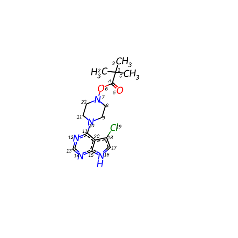 CC(C)(C)C(=O)ON1CCN(c2ncnc3[nH]cc(Cl)c23)CC1